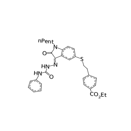 CCCCCN1C(=O)C(=NNC(=O)Nc2ccccc2)c2cc(SCCc3ccc(C(=O)OCC)cc3)ccc21